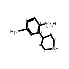 Cc1ccc(S(=O)(=O)O)c(C2CCNCC2)c1